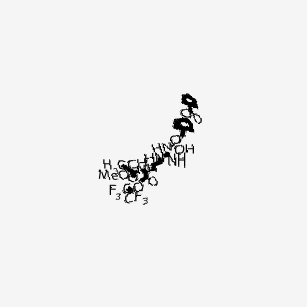 COC(C)(C)C(=O)N[C@@H](CCCNC(=N)NC(O)OCc1ccc(OC(=O)c2ccccc2)cc1)C(=O)COC(C(F)(F)F)C(F)(F)F